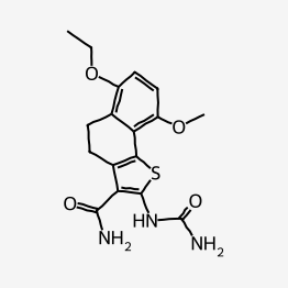 CCOc1ccc(OC)c2c1CCc1c-2sc(NC(N)=O)c1C(N)=O